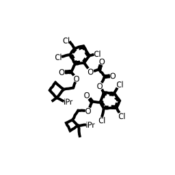 CC(C)C1(C)CCC1COC(=O)c1c(Cl)c(Cl)cc(Cl)c1OC(=O)C(=O)Oc1c(Cl)cc(Cl)c(Cl)c1C(=O)OCC1CCC1(C)C(C)C